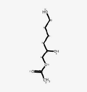 CC(=O)OCC(O)CCCCO